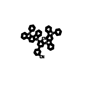 N#Cc1cccc(-c2cc(-n3c4ccccc4c4cc5c(cc43)c3ccccc3n5-c3ccccc3)c(C#N)c(-n3c4ccccc4c4c3ccc3c5ccccc5n(-c5ccccc5)c34)c2)c1